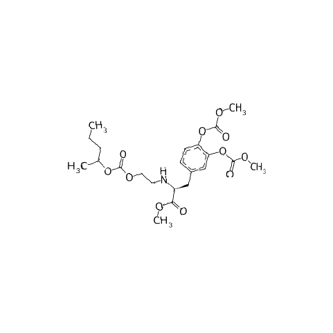 CCCC(C)OC(=O)OCCN[C@@H](Cc1ccc(OC(=O)OC)c(OC(=O)OC)c1)C(=O)OC